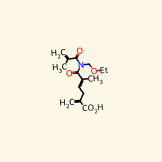 C=C(C)C(=O)N(COCC)C(=O)C(C)=CCC(=C)C(=O)O